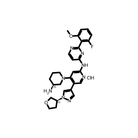 COc1cccc(F)c1-c1nccc(Nc2cc(N3CCC[C@H](N)C3)c(-c3cnn([C@H]4CCOC4)c3)cn2)n1.Cl